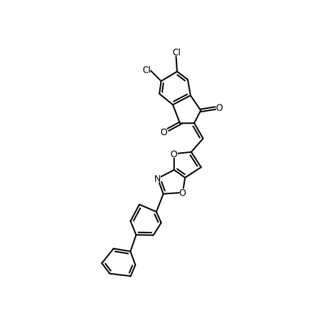 O=C1C(=Cc2cc3oc(-c4ccc(-c5ccccc5)cc4)nc3o2)C(=O)c2cc(Cl)c(Cl)cc21